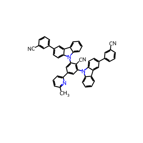 Cc1cccc(-c2cc(-n3c4ccccc4c4cc(-c5cccc(C#N)c5)ccc43)c(C#N)c(-n3c4ccccc4c4cc(-c5cccc(C#N)c5)ccc43)c2)n1